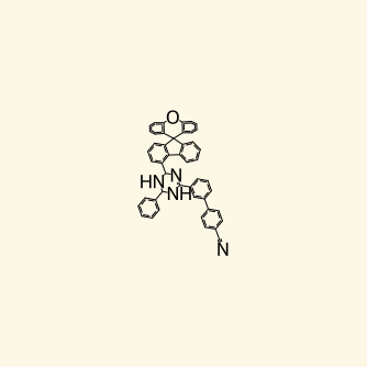 N#Cc1ccc(-c2cccc(C3=NC(c4cccc5c4-c4ccccc4C54c5ccccc5Oc5ccccc54)NC(c4ccccc4)N3)c2)cc1